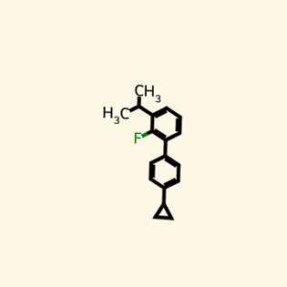 CC(C)c1cccc(-c2ccc(C3CC3)cc2)c1F